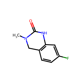 CN1Cc2ccc(F)cc2NC1=O